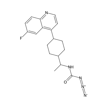 CC(NC(=O)N=[N+]=[N-])C1CCC(c2ccnc3ccc(F)cc23)CC1